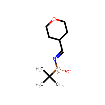 CC(C)(C)[S@@+]([O-])N=CC1CCOCC1